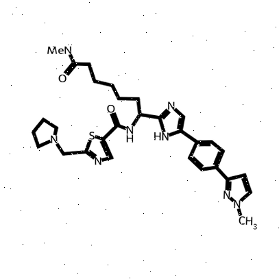 CNC(=O)CCCCCC(NC(=O)c1cnc(CN2CCCC2)s1)c1ncc(-c2ccc(-c3ccn(C)n3)cc2)[nH]1